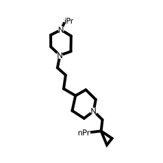 CCCC1(CN2CCC(CCCN3CCN(C(C)C)CC3)CC2)CC1